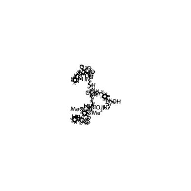 CC[C@]1(OC(=O)NCCCC[C@H](NC(=O)CCCc2ccc(N(CCO)CCO)cc2)C(=O)NCCCC[C@H](NC(=O)Oc2c(OC)cc([C@H]3c4[nH]c5ccccc5c4CC4COC(=O)N43)cc2OC)C(=O)O)C(=O)OCc2c1cc1n(c2=O)Cc2cc3ccccc3nc2-1